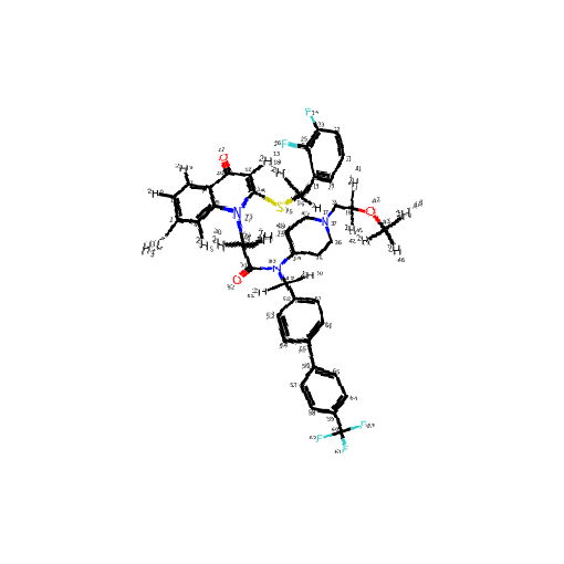 [2H]c1c(C)c([2H])c2c(c1[2H])c(=O)c([2H])c(SC([2H])([2H])c1cccc(F)c1F)n2C([2H])([2H])C(=O)N(C1CCN(CC([2H])([2H])OC([2H])([2H])[2H])CC1)C([2H])([2H])c1ccc(-c2ccc(C(F)(F)F)cc2)cc1